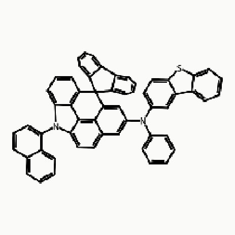 c1ccc(N(c2cc3c4c(ccc5c4c4c(cccc4n5-c4cccc5ccccc45)C34c3ccccc3-c3ccccc34)c2)c2ccc3sc4ccccc4c3c2)cc1